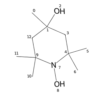 CC1(O)CC(C)(C)N(O)C(C)(C)C1